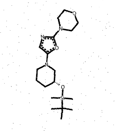 CC(C)(C)[Si](C)(C)O[C@@H]1CCCN(c2cnc(N3CCOCC3)o2)C1